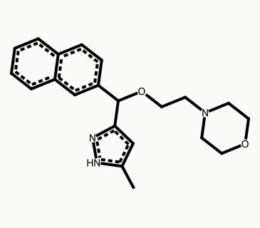 Cc1cc(C(OCCN2CCOCC2)c2ccc3ccccc3c2)n[nH]1